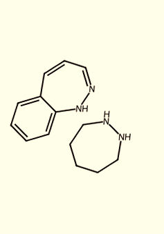 C1=Cc2ccccc2NN=C1.C1CCNNCC1